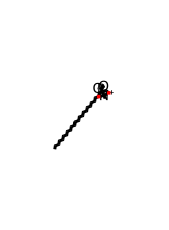 CCCCCCCCCCC=CCCCCCCCCCCCCC(CC)(P(=O)=O)[N+](C)(C)C